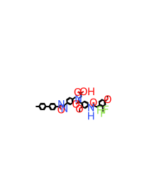 COc1ccc(CC(=O)Nc2ccc(C(=O)N(CC(=O)O)Cc3ccc(-c4noc(-c5ccc(-c6ccc(C)cc6)cc5)n4)cc3)c(OC)c2)c(C(F)(F)F)c1